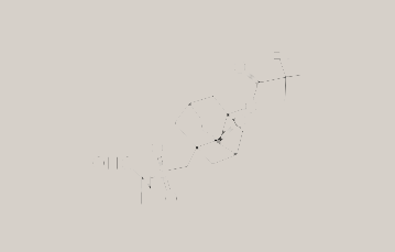 CCC(C)(C)C(=O)OC12CC3CC(=O)C(CC(CS(=O)(=O)NC=O)(C3)C1)C2